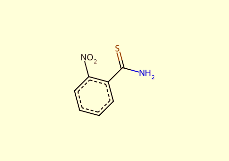 NC(=S)c1ccccc1[N+](=O)[O-]